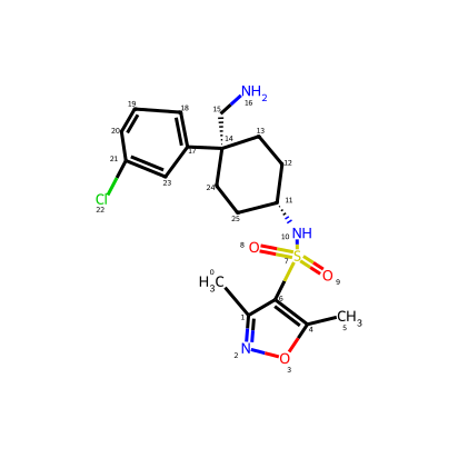 Cc1noc(C)c1S(=O)(=O)N[C@H]1CC[C@](CN)(c2cccc(Cl)c2)CC1